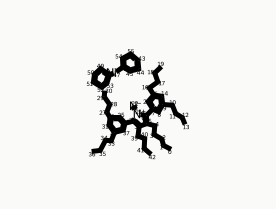 CCCCCC1=C(c2cc(CCCC)cc(CCCC)c2)[N+](=[N-])C(c2cc(CCCC)cc(CCCC)c2)=C1CCCC.c1cc[c]([Ni][c]2ccccc2)cc1